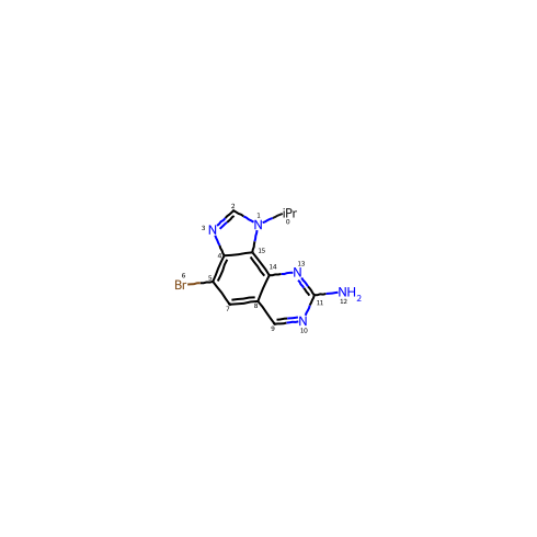 CC(C)n1cnc2c(Br)cc3cnc(N)nc3c21